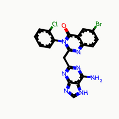 Nc1nc(Cc2nc3ccc(Br)cc3c(=O)n2-c2ccccc2Cl)nc2nc[nH]c12